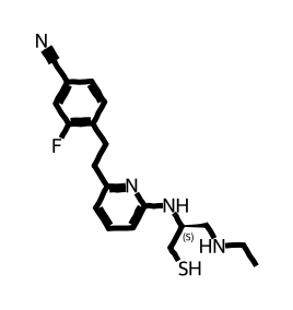 CCNC[C@@H](CS)Nc1cccc(CCc2ccc(C#N)cc2F)n1